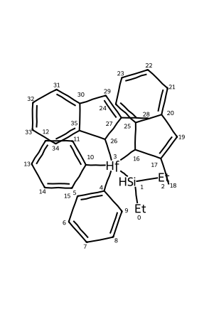 CC[SiH](CC)[Hf]([c]1ccccc1)([c]1ccccc1)([CH]1C(C)=Cc2ccccc21)[CH]1C(C)=Cc2ccccc21